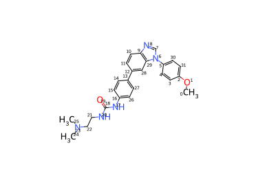 COc1ccc(-n2cnc3ccc(-c4ccc(NC(=O)NCCN(C)C)cc4)cc32)cc1